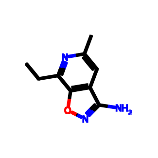 CCc1nc(C)cc2c(N)noc12